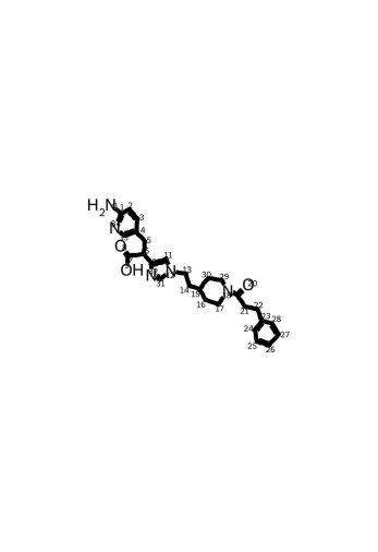 Nc1ccc(CC(C(=O)O)c2cn(CCC3CCN(C(=O)CCc4ccccc4)CC3)cn2)cn1